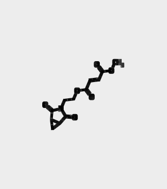 COC(=O)/C=C/C(=O)OCCN1C(=O)C2CC2C1=O